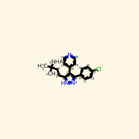 CC(=O)NC(C)(C)CCc1[nH]nc(-c2ccc(Cl)cc2)c1-c1ccncc1